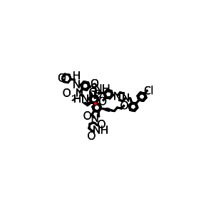 O=C1CCC(N2Cc3c(C#CCCCOc4cccc(-c5ccc(Cl)cc5)c4CN4CCN(c5ccc(C(=O)NS(=O)(=O)c6ccc(NCC7CCOCC7)c([N+](=O)[O-])c6)c(Oc6cnc7[nH]ccc7c6)c5)CC4)cccc3C2=O)C(=O)N1